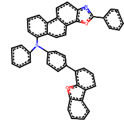 c1ccc(-c2nc3ccc4c5cccc(N(c6ccccc6)c6ccc(-c7cccc8c7oc7ccccc78)cc6)c5ccc4c3o2)cc1